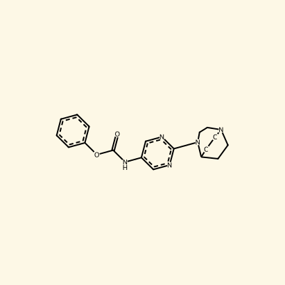 O=C(Nc1cnc(N2CCN3CCC2CC3)nc1)Oc1ccccc1